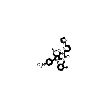 CN(C)Cc1c(-c2ccc([N+](=O)[O-])cc2)sc2c1c(=O)n(-c1cccc(-n3cccn3)n1)c(=O)n2Cc1c(F)cccc1F